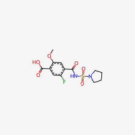 COc1cc(C(=O)NS(=O)(=O)N2CCCC2)c(F)cc1C(=O)O